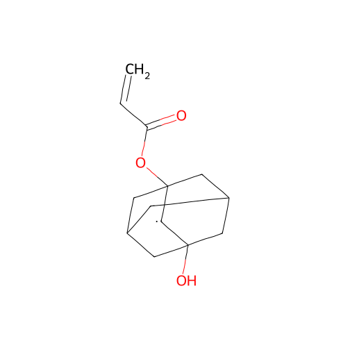 C=CC(=O)OC12[CH]C3(O)CC(CC(C3)C1)C2